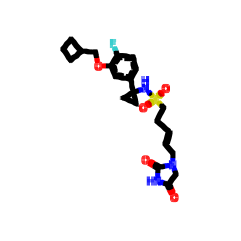 O=C1CN(C/C=C/CCS(=O)(=O)NC2(c3ccc(F)c(OCC4CCC4)c3)CC2)C(=O)N1